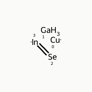 [Cu].[GaH3].[Se]=[In]